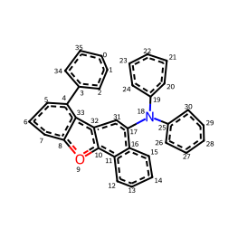 c1ccc(-c2cccc3oc4c5ccccc5c(N(c5ccccc5)c5ccccc5)cc4c23)cc1